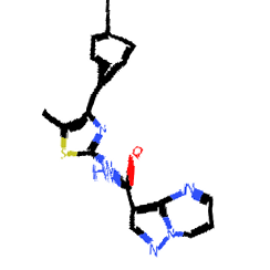 CCCc1ccc(-c2nc(NC(=O)c3cnn4cccnc34)sc2C)cc1